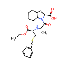 CCOC(=O)C(CSCc1ccccc1)N[C@@H](C)C(=O)N1C2CCCCC2C[C@H]1C(=O)O